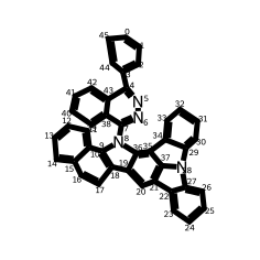 c1ccc(-c2nnc(-n3c4c5ccccc5ccc4c4cc5c6ccccc6n6c7ccccc7c(c43)c56)c3ccccc23)cc1